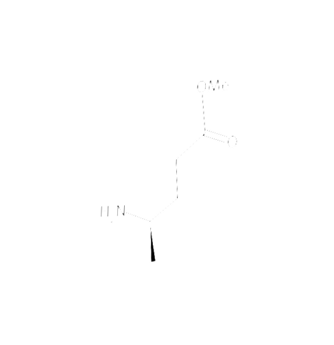 COC(=O)CC[C@@H](C)N